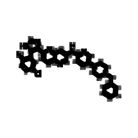 Fc1ccc(Cl)cc1-c1[nH]cnc1-c1ccc2ncc(Nc3ccc(N4CCN(Cc5ccccc5)CC4)cn3)cc2n1